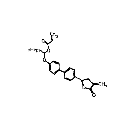 C=CC(=O)OC(CCCCCCC)Oc1ccc(-c2ccc(C3CC(=C)C(=O)O3)cc2)cc1